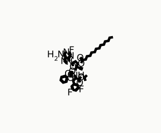 C#CC1(CO[P@@](=O)(NC(Cc2cc(F)cc(F)c2)C(=O)OC(C)C)Oc2ccccc2)OC(n2cnc3c(N)nc(F)nc32)CC1OC(=O)CCCCCCCCCCCCC